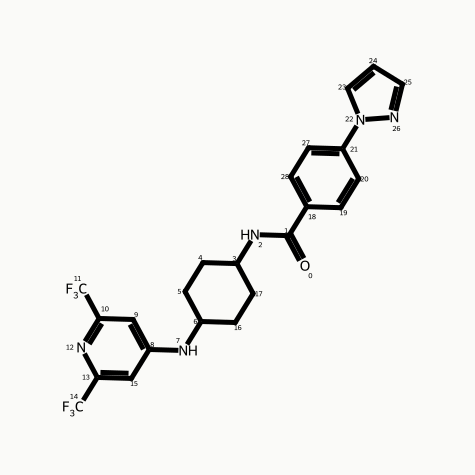 O=C(NC1CCC(Nc2cc(C(F)(F)F)nc(C(F)(F)F)c2)CC1)c1ccc(-n2cccn2)cc1